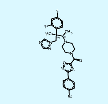 C[C@@H](N1CCN(C(=O)c2nc(-c3ccc(Br)cc3)no2)CC1)[C@](O)(Cn1cncn1)c1ccc(F)cc1F